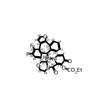 CCOC(=O)Oc1c2n(ccc1=O)N(C1c3ccccc3-c3occc3-c3c1ccc(F)c3F)[C@@H]1COCCN1C2=O